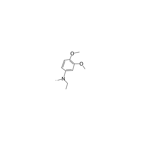 [CH2]N(CC)c1ccc(OC)c(OC)c1